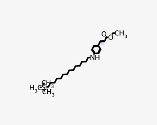 CCOC(=O)/C=C/c1ccc(NCCCCCCCCCCCCCC[Si](C)(C)C)cc1